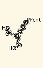 C=C(CO)C(=O)OCCOc1cc(OCCOC(=O)C(=C)CO)cc(-c2ccc(C3=CCC(C4CCC(CCCCC)CC4)CC3)cc2)c1